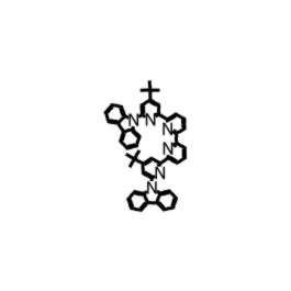 CC(C)(C)c1cc(-c2cccc(-c3cccc(-c4cc(C(C)(C)C)cc(-n5c6ccccc6c6ccccc65)n4)n3)n2)nc(-n2c3ccccc3c3ccccc32)c1